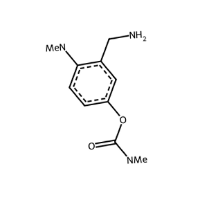 CNC(=O)Oc1ccc(NC)c(CN)c1